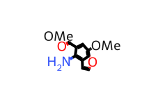 COC(=O)c1cc(OC)c2occc2c1N